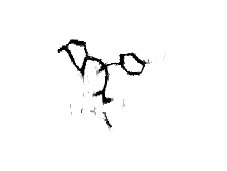 Cc1ccc(CC(O)(CC(=O)C(=O)N(C)O)c2ccc(O)cc2)cc1